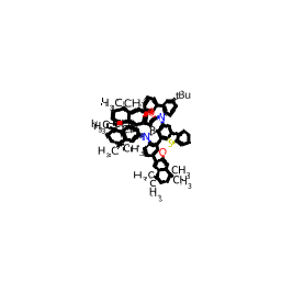 CC(C)(C)c1ccc(N2c3cc4c(sc5ccccc54)c4c3B(c3c2oc2cc5c(cc32)C(C)(C)CCC5(C)C)N(c2ccc3c(c2)C(C)(C)CCC3(C)C)c2ccc3c(oc5cc6c(cc53)C(C)(C)CCC6(C)C)c2-4)c(-c2ccccc2)c1